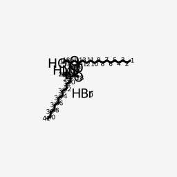 Br.CCCCCCCCCCCCCC(=O)OC(CO)C(NC(C)(C)C)OC(=O)CCCCCCCCCCCCC